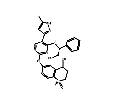 Cc1cc(-c2cnc(Nc3ccc4c(c3)C(O)CCS4(=O)=O)nc2N[C@H](CO)c2ccccc2)n[nH]1